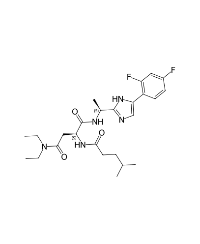 CCN(CC)C(=O)C[C@H](NC(=O)CCC(C)C)C(=O)N[C@@H](C)c1ncc(-c2ccc(F)cc2F)[nH]1